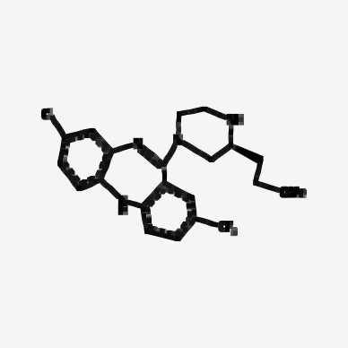 COCC[C@H]1CN(C2=Nc3cc(Cl)ccc3Nc3ccc(C(F)(F)F)cc32)CCN1